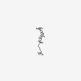 CCCN[C@H]1CCc2nc(NC(=O)CNCC(=O)NCCCCCCS)sc2C1